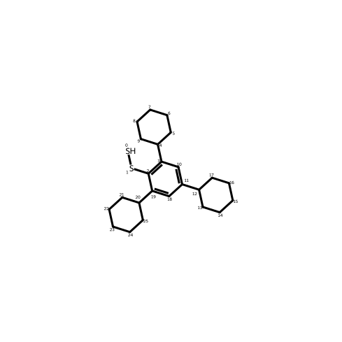 SSc1c(C2CCCCC2)cc(C2CCCCC2)cc1C1CCCCC1